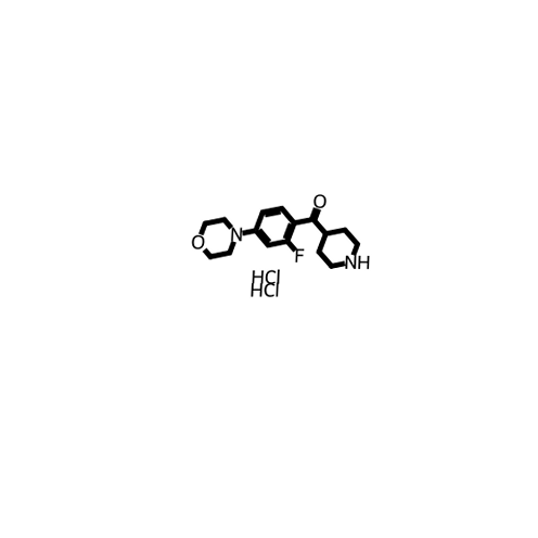 Cl.Cl.O=C(c1ccc(N2CCOCC2)cc1F)C1CCNCC1